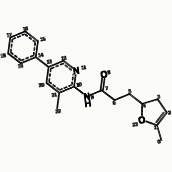 CC1=CCC(CCC(=O)Nc2ncc(-c3ccccc3)cc2C)O1